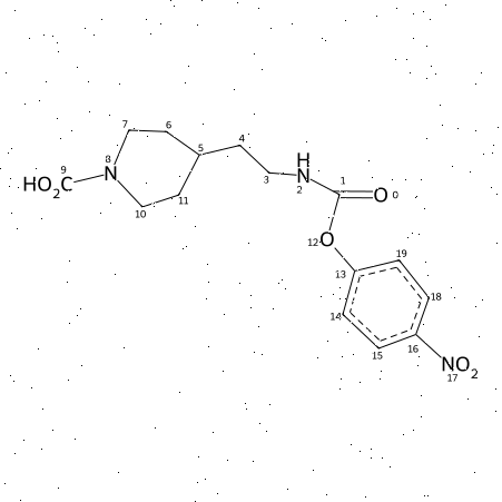 O=C(NCCC1CCN(C(=O)O)CC1)Oc1ccc([N+](=O)[O-])cc1